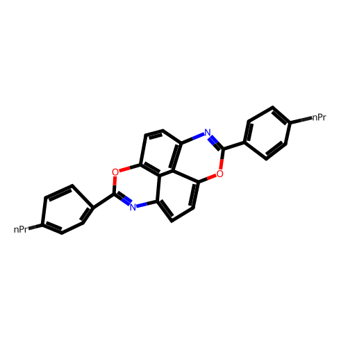 CCCc1ccc(C2=Nc3ccc4c5c(ccc(c35)O2)N=C(c2ccc(CCC)cc2)O4)cc1